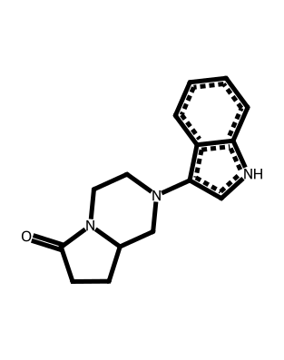 O=C1CCC2CN(c3c[nH]c4ccccc34)CCN12